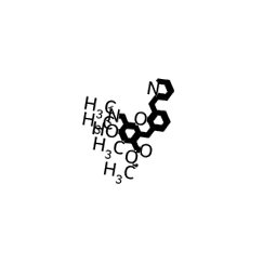 CCOC(=O)c1c(C)c(O)c(CN(C)C)c2c1Cc1cccc(Cc3ccccn3)c1O2